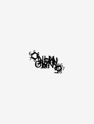 O=C(Nc1ccccc1)C1(Sc2nnc(-c3cccs3)[nH]2)CC1